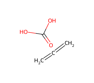 C=C=C.O=C(O)O